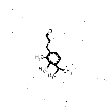 Cc1c(CCC=O)ccc(C(C)C)c1C